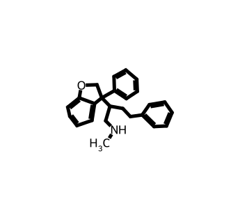 CNCC(CCc1ccccc1)C1(c2ccccc2)COc2ccccc21